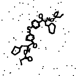 CCC(=O)O/N=C(\CC1CCCC1)C(=O)c1ccc(Sc2ccc(C(=O)/C(CC3CCCC3)=N/OC(=O)CC)cc2)cc1